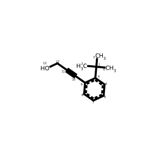 CC(C)(C)c1ccccc1C#CCO